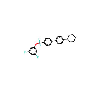 Fc1cc(F)cc(OC(F)(F)c2ccc(-c3ccc(C4CCCCC4)cc3)cc2)c1